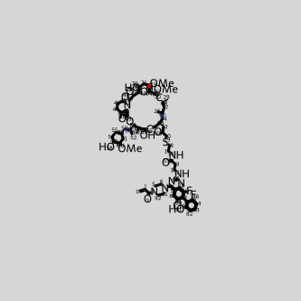 C=CC(=O)N1CCN(c2nc(NCCC(=O)NCCSCCC[C@@H]3/C=C(\C)C[C@H](C)C[C@H](OC)[C@H]4O[C@@](O)(C(=O)C(=O)N5CCCC[C@H]5C(=O)O[C@H](/C(C)=C/[C@@H]5CC[C@@H](O)[C@H](OC)C5)[C@H](C)[C@@H](O)CC3=O)[C@H](C)C[C@@H]4OC)nc3c(F)c(-c4c(O)cccc4F)c(Cl)cc23)CC1